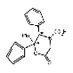 CC(C)(C)[C@@]1(c2ccccc2)OC(=O)CN(C(=O)O)[C@@H]1c1ccccc1